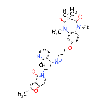 CCN1C(=O)C(C)(C)C(=O)N(C)c2cc(OCCCNC(CCn3ccc4oc(C)cc4c3=O)c3cccnc3C)ccc21